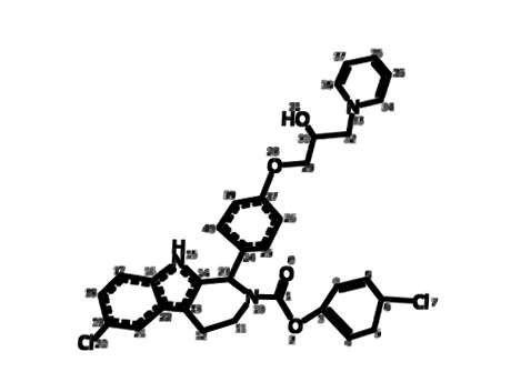 O=C(OC1=CCC(Cl)C=C1)N1CCc2c([nH]c3ccc(Cl)cc23)C1c1ccc(OCC(O)CN2C=C=CC=C2)cc1